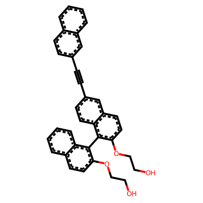 OCCOc1ccc2ccccc2c1-c1c(OCCO)ccc2cc(C#Cc3ccc4ccccc4c3)ccc12